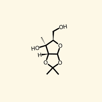 CC1(C)OC2O[C@H](CO)[C@](C)(O)[C@H]2O1